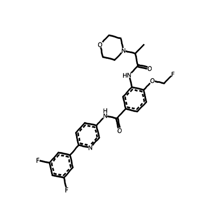 CC(C(=O)Nc1cc(C(=O)Nc2ccc(-c3cc(F)cc(F)c3)nc2)ccc1OCF)N1CCOCC1